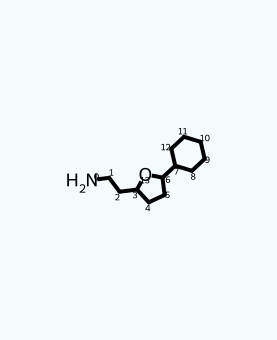 NCCC1CCC(C2CCCCC2)O1